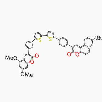 COc1cc(OC)c2cc(C3=CC=C(c4ccc(-c5ccc(-c6ccc(-c7cc8c(ccc9cc(C(C)(C)C)ccc98)oc7=O)cc6)s5)s4)C3)c(=O)oc2c1